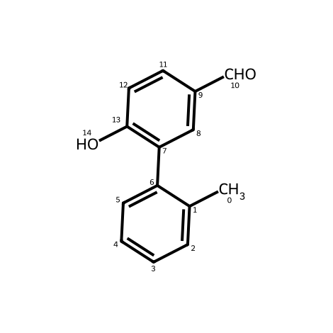 Cc1ccccc1-c1cc(C=O)ccc1O